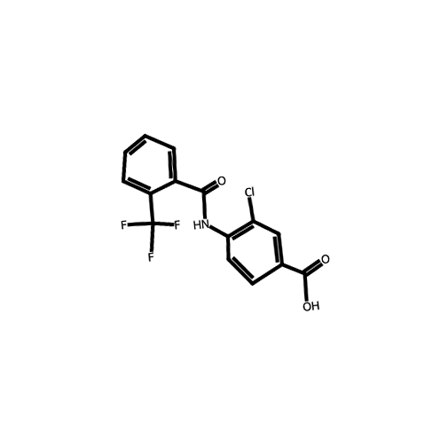 O=C(O)c1ccc(NC(=O)c2ccccc2C(F)(F)F)c(Cl)c1